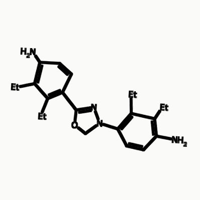 CCc1c(N)ccc(C2=NN(c3ccc(N)c(CC)c3CC)CO2)c1CC